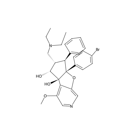 CCN(CC)C[C@H]1[C@@H](O)[C@@]2(O)c3c(OC)cncc3O[C@@]2(c2ccc(Br)cc2)[C@@H]1c1ccccc1